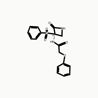 O=C(COc1ccccc1)N[C@@]1(S(=O)(=O)c2ccccc2)CNC1=O